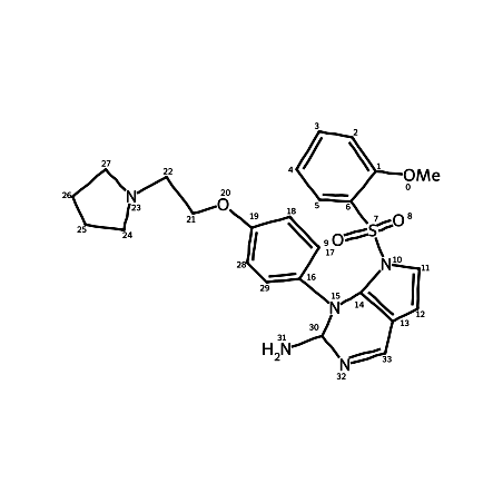 COc1ccccc1S(=O)(=O)n1ccc2c1N(c1ccc(OCCN3CCCC3)cc1)C(N)N=C2